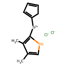 Cc1c[pH][c]([Ti+2][C]2=CC=CC2)c1C.[Cl-].[Cl-]